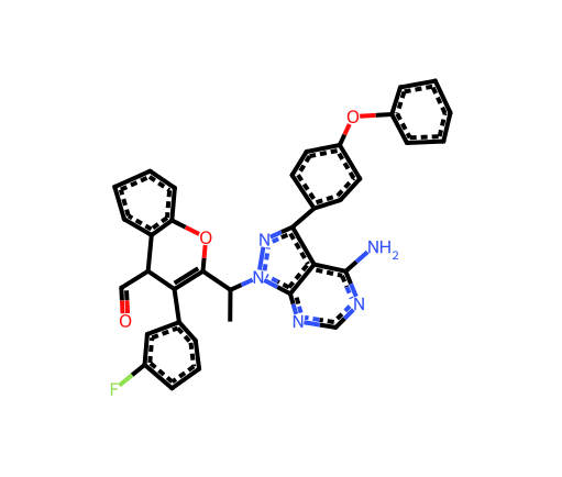 CC(C1=C(c2cccc(F)c2)C(C=O)c2ccccc2O1)n1nc(-c2ccc(Oc3ccccc3)cc2)c2c(N)ncnc21